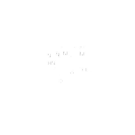 CC1CCNC(=O)c2ccc(c(N)c2)-c2ccnc(n2)Nc2ccc(OC3CCCCC3)c(c2)COC1